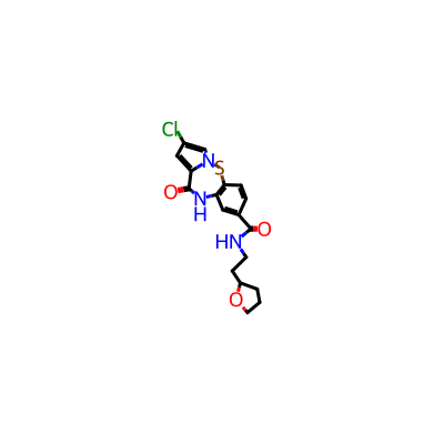 O=C(NCCC1CCCO1)c1ccc2c(c1)NC(=O)c1cc(Cl)cn1S2